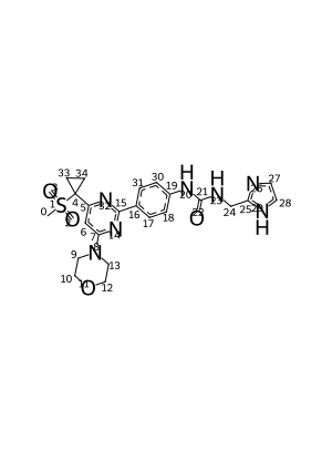 CS(=O)(=O)C1(c2cc(N3CCOCC3)nc(-c3ccc(NC(=O)NCc4ncc[nH]4)cc3)n2)CC1